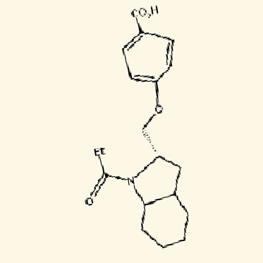 CCC(=O)N1C2CCCCC2C[C@H]1COc1ccc(C(=O)O)cc1